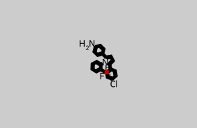 Nc1ccc(-c2ccc(-c3ccc(Cl)cc3)n2-c2ccccc2C(F)(F)F)cc1